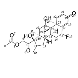 CC(=O)OCC(=O)[C@@]1(O)C(C)C[C@H]2[C@@H]3CC(F)C4=CC(=O)C=C[C@]4(C)[C@@]3(F)C(O)C[C@@]21C